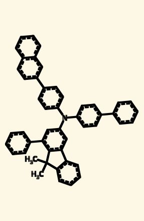 CC1(C)c2ccccc2-c2cc(N(c3ccc(-c4ccccc4)cc3)c3ccc(-c4ccc5ccccc5c4)cc3)cc(-c3ccccc3)c21